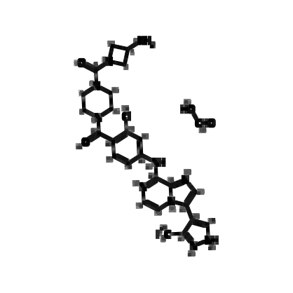 NC1CN(C(=O)N2CCN(C(=O)c3ccc(Nc4nccn5c(-c6c[nH]nc6C(F)(F)F)cnc45)cc3Cl)CC2)C1.O=CO